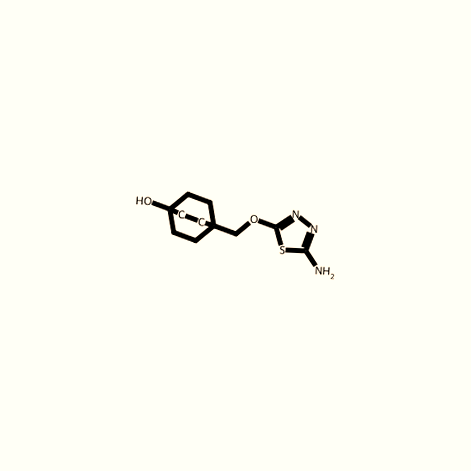 Nc1nnc(OCC23CCC(O)(CC2)CC3)s1